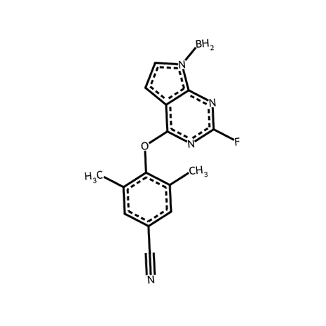 Bn1ccc2c(Oc3c(C)cc(C#N)cc3C)nc(F)nc21